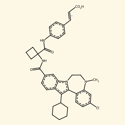 CN1CCn2c(c(C3CCCCC3)c3ccc(C(=O)NC4(C(=O)Nc5ccc(/C=C/C(=O)O)cc5)CCC4)cc32)-c2ccc(Cl)cc21